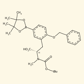 CN(C(=O)OC(C)(C)C)[C@@H](Cc1cc(B2OC(C)(C)C(C)(C)O2)ccc1OCc1ccccc1)C(=O)O